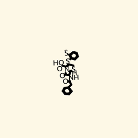 CSc1ccccc1SC1=C(C(=O)O)N2C(=O)[C@@H](NC(=O)Cc3ccccc3)[C@H]2SC1